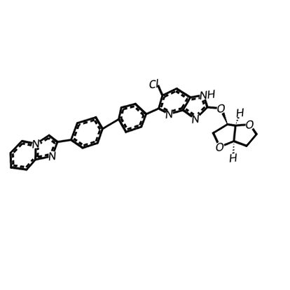 Clc1cc2[nH]c(O[C@@H]3CO[C@@H]4CCO[C@@H]43)nc2nc1-c1ccc(-c2ccc(-c3cn4ccccc4n3)cc2)cc1